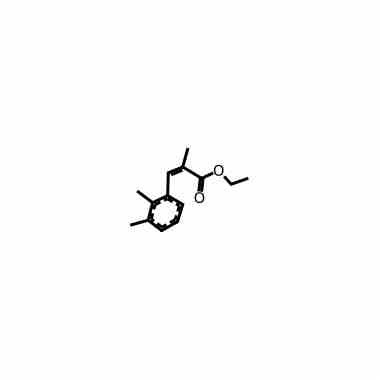 CCOC(=O)C(C)=Cc1cccc(C)c1C